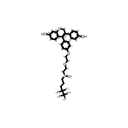 [O-][S+](CCCC(F)(F)C(F)(F)F)CCOCCOc1ccc(C2=C(c3ccc(O)cc3)COc3cc(O)ccc32)cc1